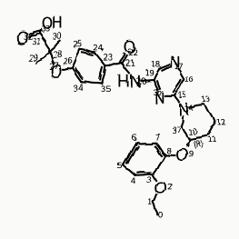 CCOc1ccccc1O[C@@H]1CCCN(c2cncc(NC(=O)c3ccc(OC(C)(C)C(=O)O)cc3)n2)C1